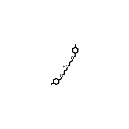 CC1CCC(COCCCNCCCOCC2CCC(C)CC2)CC1